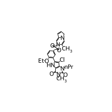 CCCn1c(=O)n(C)c(=O)c2[nH]c(-c3cc(S(=O)(=O)N4C=C5C=CCN5C=C4C)ccc3OCC)c(Cl)c21